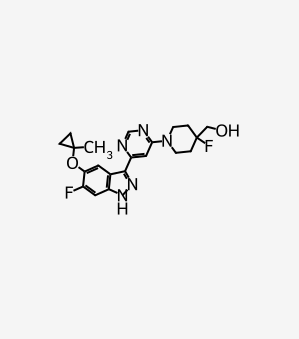 CC1(Oc2cc3c(-c4cc(N5CCC(F)(CO)CC5)ncn4)n[nH]c3cc2F)CC1